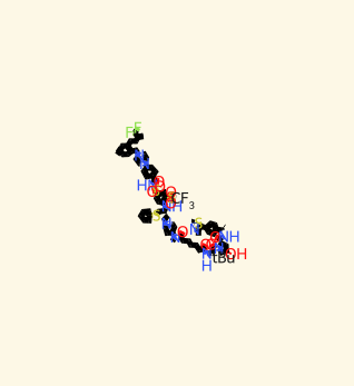 C=C(CCC1=C(CN2CCN(c3ccc(C(=O)NS(=O)(=O)c4ccc(N[C@H](CCN5CCC(N(C)C(=O)CCCCCC(=O)NC(C(=O)N6C[C@H](O)C[C@H]6C(=O)N[C@@H](C)c6ccc(-c7scnc7C)cc6)C(C)(C)C)CC5)CSc5ccccc5)c(S(=O)(=O)C(F)(F)F)c4)cc3)CC2)CCC(C)(C)C1)C(F)F